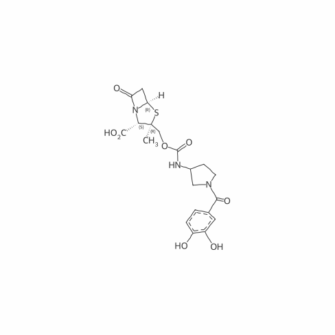 C[C@@]1(COC(=O)NC2CCN(C(=O)c3ccc(O)c(O)c3)C2)S[C@@H]2CC(=O)N2[C@H]1C(=O)O